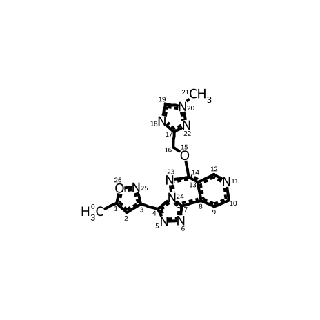 Cc1cc(-c2nnc3c4ccncc4c(OCc4ncn(C)n4)nn23)no1